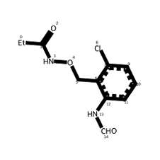 CCC(=O)NOCc1c(Cl)cccc1NC=O